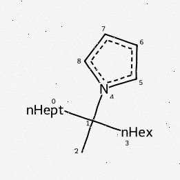 CCCCCCCC(C)(CCCCCC)n1cccc1